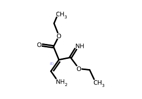 CCOC(=N)/C(=C\N)C(=O)OCC